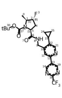 C[C@H]1[C@H](F)C[C@@H](C(=O)NCc2cc(-c3cnc(C(F)(F)F)nc3)ncc2C2CC2)N1C(=O)OC(C)(C)C